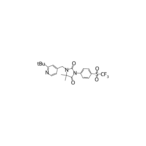 CC(C)(C)c1cc(CN2C(=O)N(c3ccc(S(=O)(=O)C(F)(F)F)cc3)C(=O)C2(C)C)ccn1